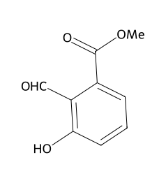 COC(=O)c1cccc(O)c1C=O